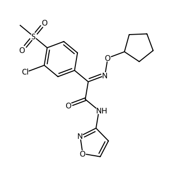 CS(=O)(=O)c1ccc(/C(=N\OC2CCCC2)C(=O)Nc2ccon2)cc1Cl